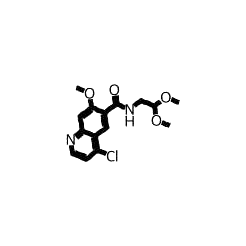 COc1cc2nccc(Cl)c2cc1C(=O)NCC(OC)OC